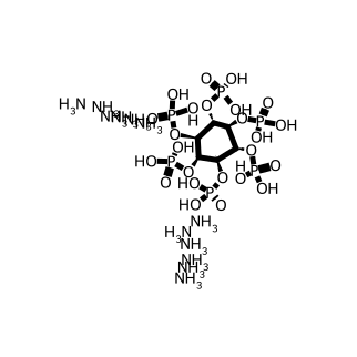 N.N.N.N.N.N.N.N.N.N.N.N.O=P(O)(O)O[C@H]1[C@H](OP(=O)(O)O)[C@@H](OP(=O)(O)O)[C@H](OP(=O)(O)O)[C@@H](OP(=O)(O)O)[C@H]1OP(=O)(O)O